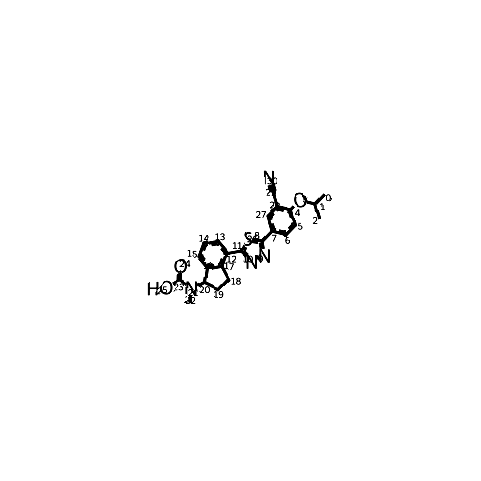 CC(C)Oc1ccc(-c2nnc(-c3cccc4c3CCC4N(C)C(=O)O)s2)cc1C#N